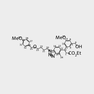 CCOC(=O)CC(c1cc(CO)cc(OC)c1)c1ccc2c(nnn2CCCCOCc2ccc(OC)cc2)c1C